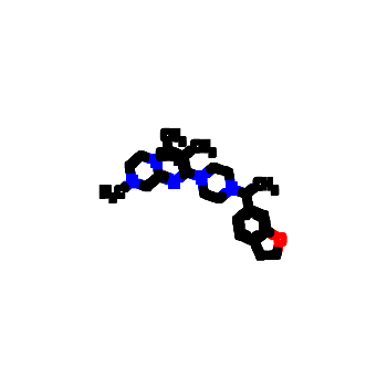 CC/C(C)=C(\N=C1\CN(C)CCN1C)N1CCN(C(C)c2ccc3c(c2)OCC3)CC1